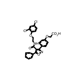 O=C(O)COc1ccc(-c2noc(-c3ccccc3)c2C(=O)NCCOc2ccc(Cl)cc2Cl)cc1